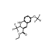 CCOC(=O)C1=Cc2cc(OC(F)(F)F)ccc2NC1C(F)(F)F